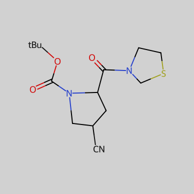 CC(C)(C)OC(=O)N1CC(C#N)CC1C(=O)N1CCSC1